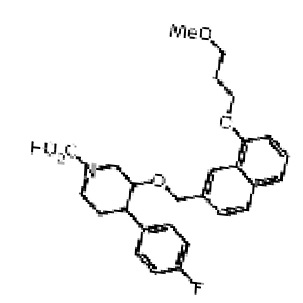 COCCCOc1cccc2ccc(COC3CN(C(=O)O)CCC3c3ccc(F)cc3)cc12